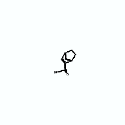 [NH]C(=O)C1=CC2CCC1C2